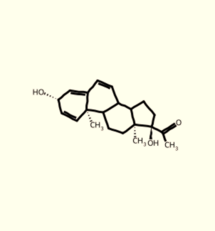 CC(=O)[C@@]1(O)CCC2C3C=CC4=C[C@@H](O)C=C[C@]4(C)C3CC[C@@]21C